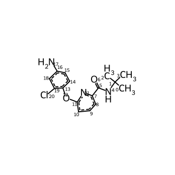 CC(C)(C)NC(=O)c1cccc(Oc2ccc(N)cc2Cl)n1